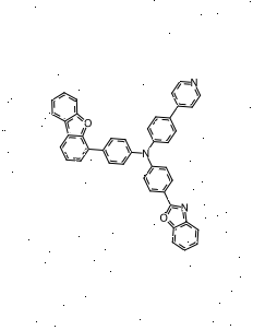 c1ccc2oc(-c3ccc(N(c4ccc(-c5ccncc5)cc4)c4ccc(-c5cccc6c5oc5ccccc56)cc4)cc3)nc2c1